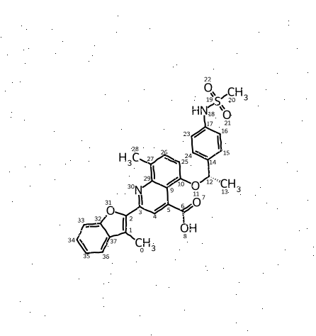 Cc1c(-c2cc(C(=O)O)c3c(O[C@@H](C)c4ccc(NS(C)(=O)=O)cc4)ccc(C)c3n2)oc2ccccc12